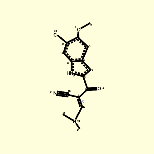 COc1cc2cc(C(=O)/C(C#N)=C/N(C)C)[nH]c2cc1Cl